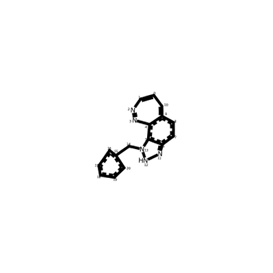 C1=CN=Nc2c3c(ccc2=C1)=NNN3Cc1ccccc1